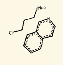 CCCCCCCCCCCCCl.c1ccc2cnccc2c1